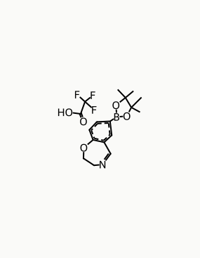 CC1(C)OB(c2ccc3c(c2)C=NCCO3)OC1(C)C.O=C(O)C(F)(F)F